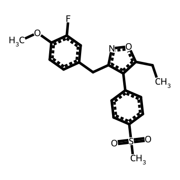 CCc1onc(Cc2ccc(OC)c(F)c2)c1-c1ccc(S(C)(=O)=O)cc1